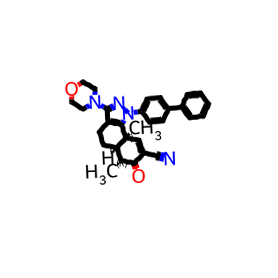 C[C@H]1C(=O)C(C#N)=C[C@@]2(C)c3c(c(N4CCOCC4)nn3-c3ccc(-c4ccccc4)cc3)CC[C@H]12